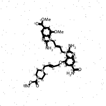 COC(=O)c1cc(OC)c2c(c1)nc(N)n2C/C=C/Cn1c(N)nc2cc(C(N)=O)cc(OCC#CCN3CCN(C(=O)OC(C)(C)C)CC3)c21